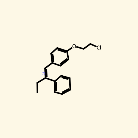 CC/C(=C/c1ccc(OCCCl)cc1)c1ccccc1